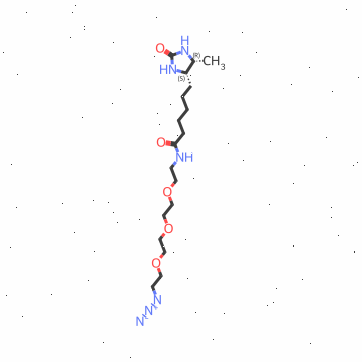 C[C@H]1NC(=O)N[C@H]1CCCCCC(=O)NCCOCCOCCOCCN=[N+]=[N-]